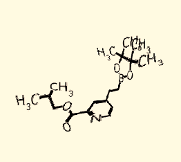 CC(C)COC(=O)c1cc(CCB2OC(C)(C)C(C)(C)O2)ccn1